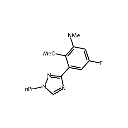 CCCn1cnc(-c2cc(F)cc(NC)c2OC)n1